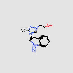 N#Cc1ncn(CCO)n1.c1ccc2[nH]ccc2c1